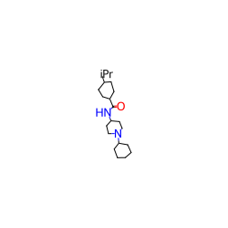 CC(C)C1CCC(C(=O)NC2CCN(C3CCCCC3)CC2)CC1